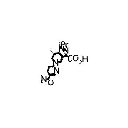 CC(C)n1nc(C(=O)O)c2c1[C@@H](C)CN(c1ccc(C(=O)N(C)C)cn1)C2